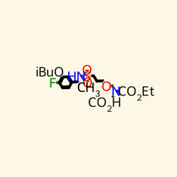 CCOC(=O)N(COCCCS(=O)(=O)NC(C)c1ccc(F)c(OCC(C)C)c1)CC(=O)O